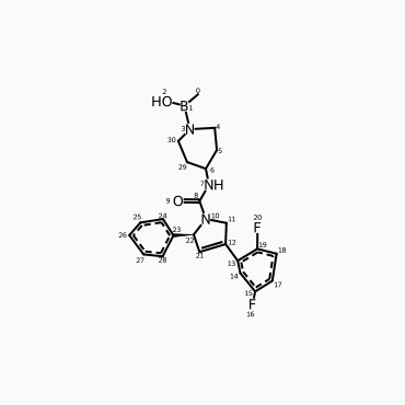 CB(O)N1CCC(NC(=O)N2CC(c3cc(F)ccc3F)=C[C@H]2c2ccccc2)CC1